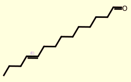 CCC/C=C/CCCCCCCCC=O